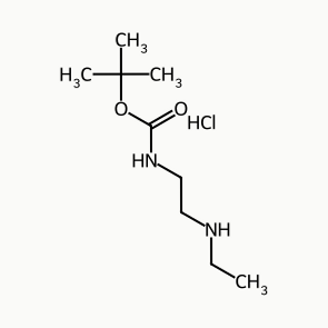 CCNCCNC(=O)OC(C)(C)C.Cl